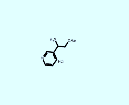 COCC(N)c1cccnc1.Cl